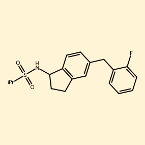 CC(C)S(=O)(=O)NC1CCc2cc(Cc3ccccc3F)ccc21